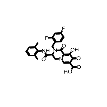 Cc1cccc(C)c1NC(=O)C1Cn2cc(C(=O)O)c(=O)c(O)c2C(=O)N1Cc1ccc(F)cc1F